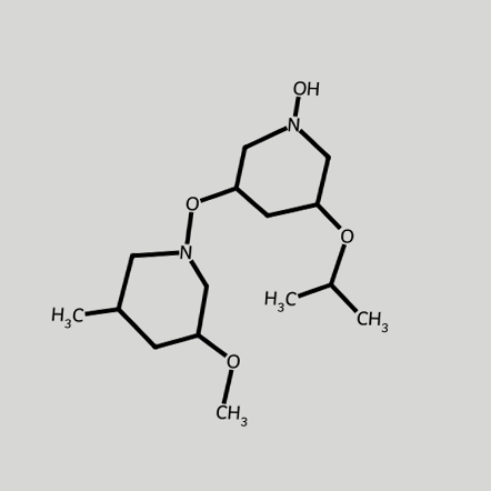 COC1CC(C)CN(OC2CC(OC(C)C)CN(O)C2)C1